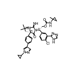 CC(C)(C)C[C@]1(c2ccc(-c3cnn(C4CC4)c3)cc2)NC(=N)N([C@H](COC(=O)NC2(C)CC2)c2ccc(Cl)c(-c3nnc[nH]3)c2)C1=O